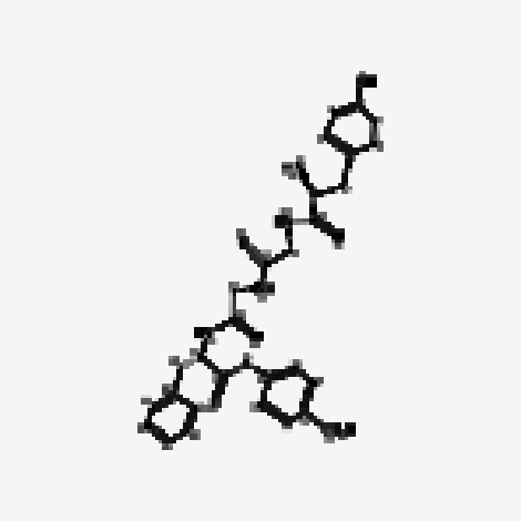 N[C@@H](Cc1ccc(O)cc1)C(=O)NCC(=O)NCC(=O)N[C@@H](Cc1ccccc1)C(=O)Sc1ccc(C(=O)O)cc1